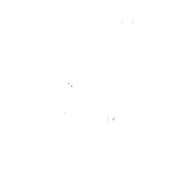 CCCCCCN1c2ccccc2Oc2cc(Br)ccc21